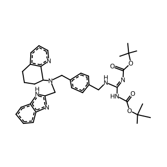 CC(C)(C)OC(=O)/N=C(\NCc1ccc(CN(Cc2nc3ccccc3[nH]2)C2CCCc3cccnc32)cc1)NC(=O)OC(C)(C)C